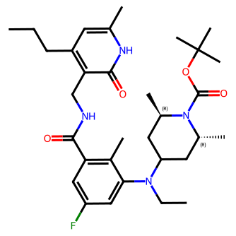 CCCc1cc(C)[nH]c(=O)c1CNC(=O)c1cc(F)cc(N(CC)C2C[C@@H](C)N(C(=O)OC(C)(C)C)[C@H](C)C2)c1C